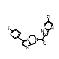 O=C(c1cc2ncc(Cl)cn2n1)N1CCn2c(-c3ccc(F)nc3)cnc2C1